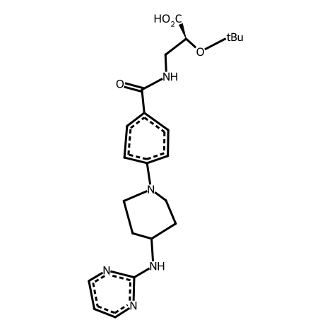 CC(C)(C)O[C@@H](CNC(=O)c1ccc(N2CCC(Nc3ncccn3)CC2)cc1)C(=O)O